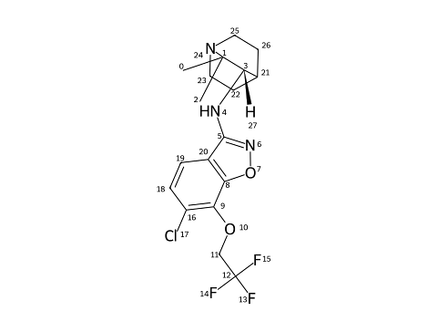 CC1(C)[C@@H](Nc2noc3c(OCC(F)(F)F)c(Cl)ccc23)C2CCN1CC2